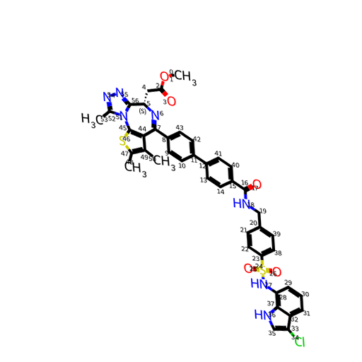 COC(=O)C[C@@H]1N=C(c2ccc(-c3ccc(C(=O)NCc4ccc(S(=O)(=O)Nc5cccc6c(Cl)c[nH]c56)cc4)cc3)cc2)c2c(sc(C)c2C)-n2c(C)nnc21